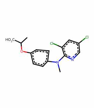 CC(Oc1ccc(N(C)c2ncc(Cl)cc2Cl)cc1)C(=O)O